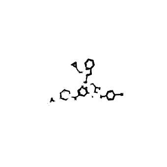 COc1cc(C(=O)N2C[C@H](F)C[C@@H](OC(N)=O)C2)cc2nc(-c3cc4ccccc4n3CC3CC3)n(CC3CN(C(=O)c4ccc(C#N)cc4)C3)c12